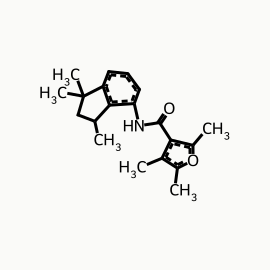 Cc1oc(C)c(C(=O)Nc2cccc3c2C(C)CC3(C)C)c1C